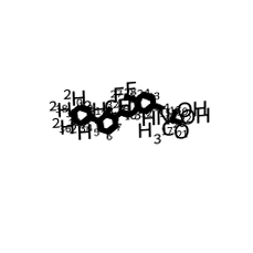 [2H]c1cc(C2=CC=CC(/C=C/c3cc(CNC(C)(CO)C(=O)O)ccc3C(F)(F)F)C2([2H])C)c([2H])c([2H])c1[2H]